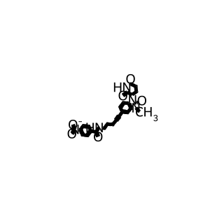 Cn1c(=O)n(C2CCC(=O)NC2=O)c2ccc(C#CCCCNC(=O)c3ccc([N+](=O)[O-])cc3)cc21